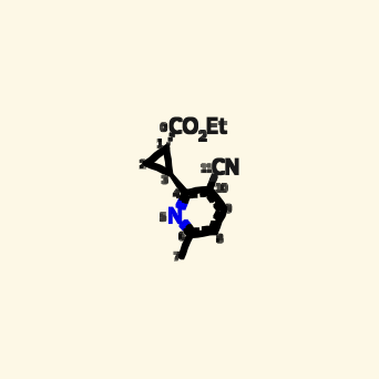 CCOC(=O)[C@H]1C[C@@H]1c1nc(C)ccc1C#N